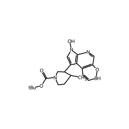 CC1CCN(C(=O)OC(C)(C)C)CC1c1cn(O)c2ncc3c(c12)C=CBO3